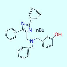 CCCCn1c(-c2ccccc2)nc(-c2ccccc2)c1CN(Cc1ccccc1)Cc1cccc(O)c1